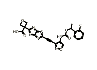 CC(OC(=O)Nc1conc1C#Cc1nc2sc(C3(C(=O)O)COC3)nc2s1)c1ccccc1Cl